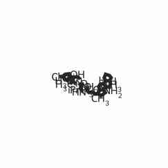 CC(C)[C@@H](NC(=O)CC[C@H](C)C1CC[C@@]2(N)[C@@]3(N)CC[C@H]4CCCC[C@]4(C)[C@@H]3CC[C@]12C)C(=O)N1CC[C@](O)(c2ccc(Cl)cc2)C(C)(C)C1